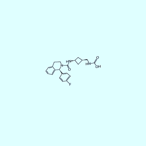 O=C(O)NC[C@H]1C[C@@H](NC(=O)N2CCc3ccccc3[C@@H]2c2ccc(F)cc2)C1